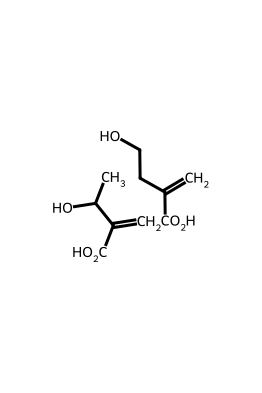 C=C(C(=O)O)C(C)O.C=C(CCO)C(=O)O